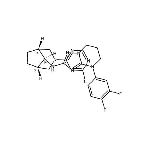 Fc1ccc(N2CCCn3nc(N[C@@H]4[C@@H]5CC[C@H]4CN(c4cc(Cl)ncn4)C5)nc32)cc1F